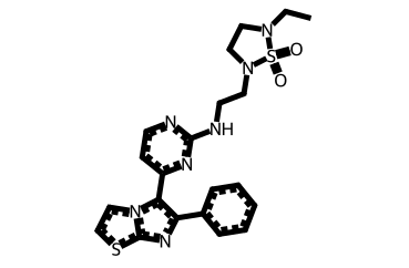 CCN1CCN(CCNc2nccc(-c3c(-c4ccccc4)nc4sccn34)n2)S1(=O)=O